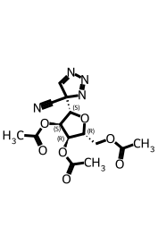 CC(=O)OC[C@H]1O[C@@H](C2(C#N)C=NN=N2)[C@H](OC(C)=O)[C@@H]1OC(C)=O